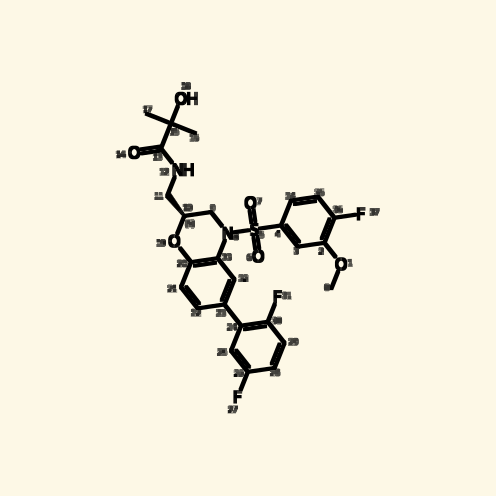 COc1cc(S(=O)(=O)N2C[C@H](CNC(=O)C(C)(C)O)Oc3ccc(-c4cc(F)ccc4F)cc32)ccc1F